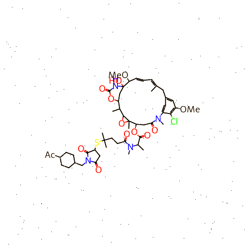 COc1cc2cc(c1Cl)N(C)C(=O)CC(OC(=O)C(C)N(C)C(=O)CCC(C)(C)SC1CC(=O)N(CC3CCC(C(C)=O)CC3)C1=O)C1(C)OC1C(C)C1CC(O)(NC(=O)O1)C(OC)/C=C/C=C(\C)C2